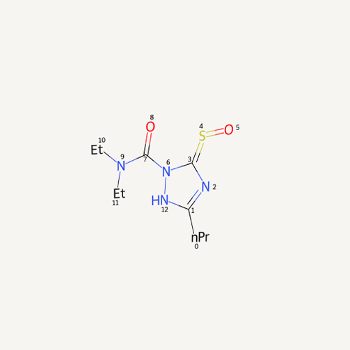 CCCc1nc(=S=O)n(C(=O)N(CC)CC)[nH]1